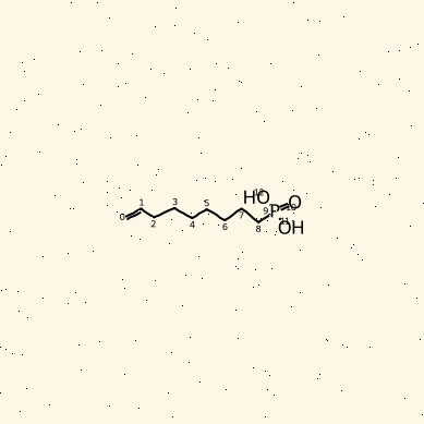 C=CCCCCCCCP(=O)(O)O